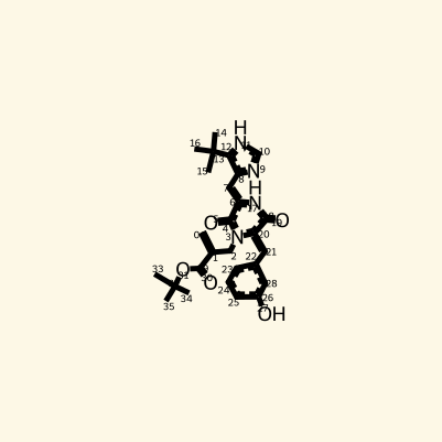 C=C(Cn1c(=O)/c(=C/c2nc[nH]c2C(C)(C)C)[nH]c(=O)/c1=C/c1cccc(O)c1)C(=O)OC(C)(C)C